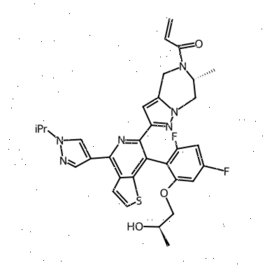 C=CC(=O)N1Cc2cc(-c3nc(-c4cnn(C(C)C)c4)c4ccsc4c3-c3c(F)cc(F)cc3OC[C@@H](C)O)nn2C[C@H]1C